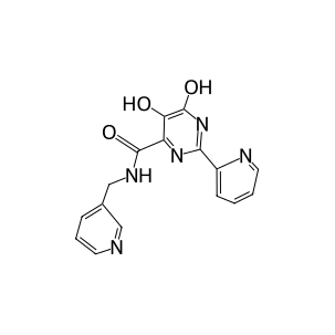 O=C(NCc1cccnc1)c1nc(-c2ccccn2)nc(O)c1O